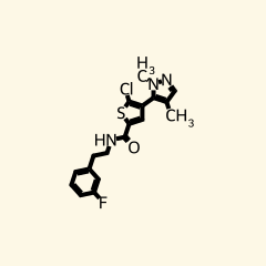 Cc1cnn(C)c1-c1cc(C(=O)NCCc2cccc(F)c2)sc1Cl